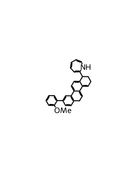 COc1ccccc1-c1ccc2c(c1)-c1ccc3c(c1=CC2)=CCCC3C1=CC=CC=CN1